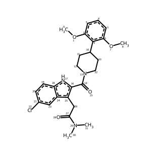 COc1cccc(OC)c1C1CCN(C(=O)c2[nH]c3ccc(Cl)cc3c2CC(=O)N(C)C)CC1